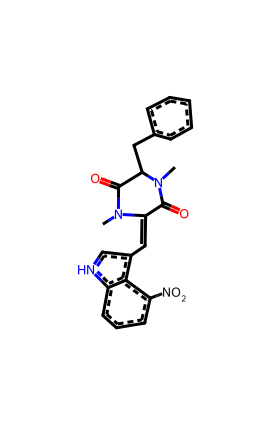 CN1C(=O)C(Cc2ccccc2)N(C)C(=O)C1=Cc1c[nH]c2cccc([N+](=O)[O-])c12